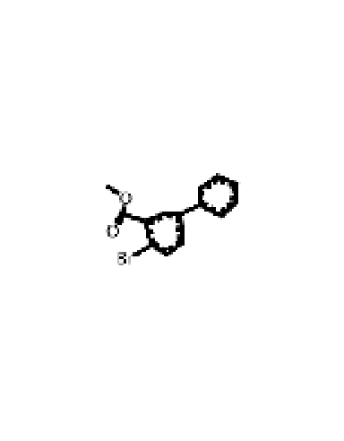 COC(=O)c1cc(-c2ccccc2)ccc1Br